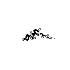 CCNC(=O)Cn1nc(-c2noc(-c3ccc(C#N)nc3)n2)ccc1=O